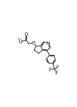 COC(=O)COC1CCc2c(-c3ccc(C(F)(F)F)cc3)cncc21